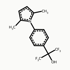 Cc1ccc(C)n1-c1ccc(C(O)(C(F)(F)F)C(F)(F)F)cc1